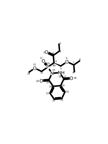 CCC(=O)[C@@H](COC(C)C)P(=O)(COC)n1[nH]c(=O)c2ccccc2c1=O